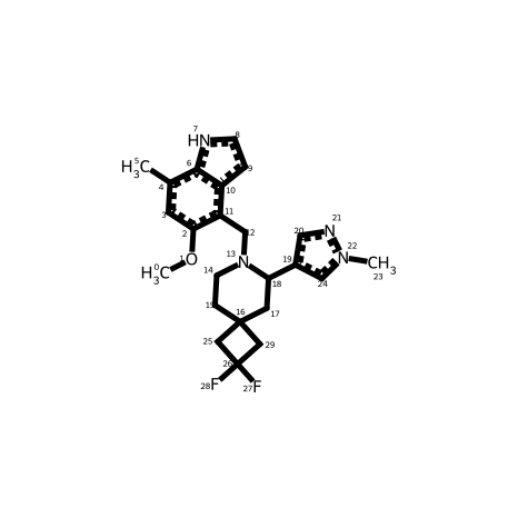 COc1cc(C)c2[nH]ccc2c1CN1CCC2(CC1c1cnn(C)c1)CC(F)(F)C2